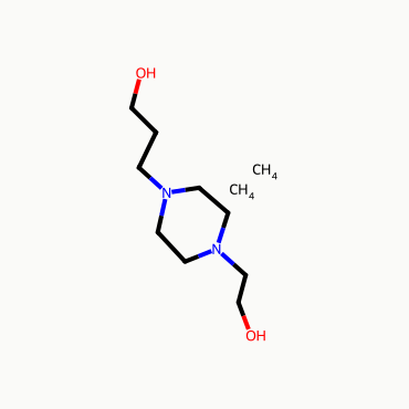 C.C.OCCCN1CCN(CCO)CC1